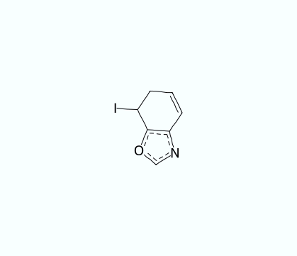 IC1CC=Cc2ncoc21